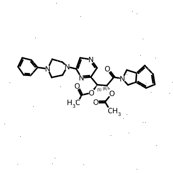 CC(=O)O[C@@H](C(=O)N1Cc2ccccc2C1)[C@@H](OC(C)=O)c1cncc(N2CCN(c3ccccc3)CC2)n1